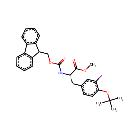 COC(=O)[C@H](Cc1ccc(OC(C)(C)C)c(I)c1)NC(=O)OCC1c2ccccc2-c2ccccc21